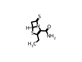 CCC1=C(C(N)=O)N2C(=S)C[C@@H]2S1